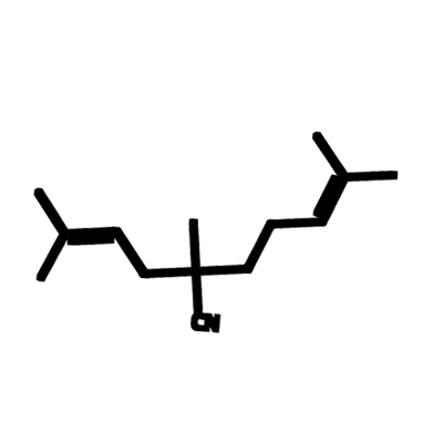 CC(C)=CCCC(C)(C#N)CC=C(C)C